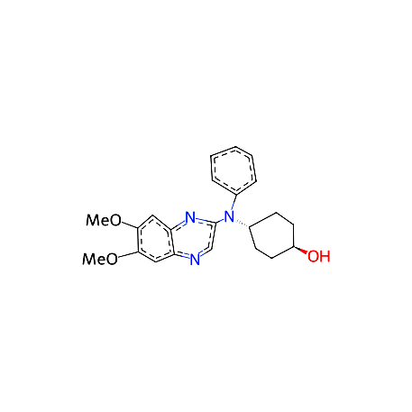 COc1cc2ncc(N(c3ccccc3)[C@H]3CC[C@H](O)CC3)nc2cc1OC